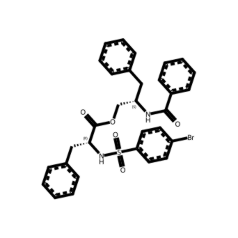 O=C(N[C@H](COC(=O)[C@@H](Cc1ccccc1)NS(=O)(=O)c1ccc(Br)cc1)Cc1ccccc1)c1ccccc1